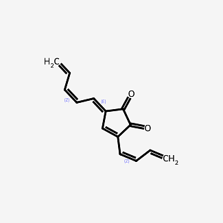 C=C/C=C\C=C1C=C(/C=C\C=C)C(=O)C/1=O